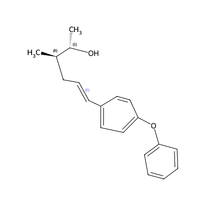 C[C@H](O)[C@H](C)C/C=C/c1ccc(Oc2ccccc2)cc1